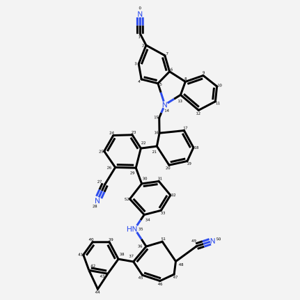 N#Cc1ccc2c(c1)c1ccccc1n2CC1C=CC=CC1c1cccc(C#N)c1-c1cccc(NC2=C(c3cccc4c3C4)C=CCC(C#N)C2)c1